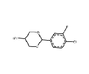 CCCC1COC(c2ccc(Cl)c(F)c2)OC1